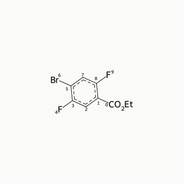 CCOC(=O)c1cc(F)c(Br)cc1F